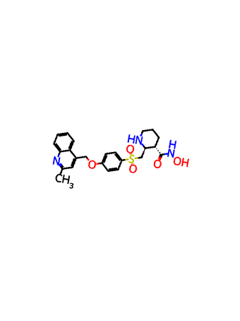 Cc1cc(COc2ccc(S(=O)(=O)C[C@H]3NCCC[C@@H]3C(=O)NO)cc2)c2ccccc2n1